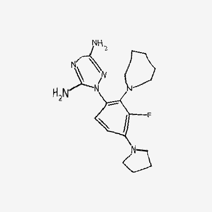 Nc1nc(N)n(-c2ccc(N3CCCC3)c(F)c2N2CCCCC2)n1